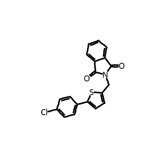 O=C1c2ccccc2C(=O)N1Cc1ccc(-c2ccc(Cl)cc2)s1